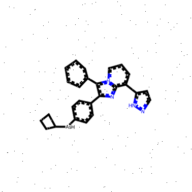 c1ccc(-c2c(-c3ccc([AsH]C4CCC4)cc3)nc3c(-c4ccn[nH]4)cccn23)cc1